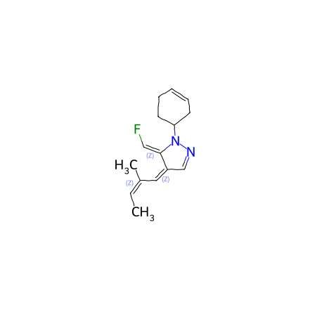 C\C=C(C)/C=c1/cnn(C2CC=CCC2)/c1=C\F